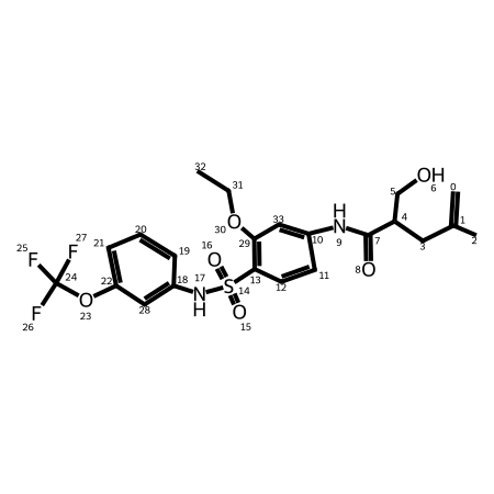 C=C(C)CC(CO)C(=O)Nc1ccc(S(=O)(=O)Nc2cccc(OC(F)(F)F)c2)c(OCC)c1